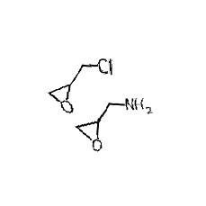 ClCC1CO1.NCC1CO1